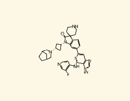 CC(C)n1cnc2cc(-c3ccc4c(c3)N([C@H]3C[C@@H](N5CC6CCC(C6)C5)C3)C(=O)C43CCNCC3)nc(Nc3ccncc3F)c21